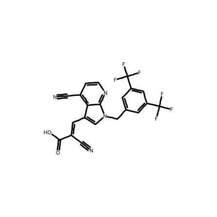 N#C/C(=C\c1cn(Cc2cc(C(F)(F)F)cc(C(F)(F)F)c2)c2nccc(C#N)c12)C(=O)O